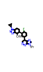 COc1c(-c2cc(-c3cnnc4c3ncn4C(C)C)ccc2F)ccc2c1nnn2C1CC1